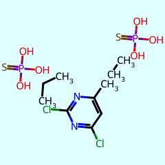 CC.CCC.Cc1cc(Cl)nc(Cl)n1.OP(O)(O)=S.OP(O)(O)=S